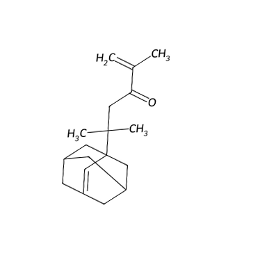 C=C(C)C(=O)CC(C)(C)C12C=C3CC(CC(C3)C1)C2